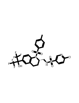 Cc1ccc(S(=O)(=O)N2c3ccc(C(O)(C(F)(F)F)C(F)(F)F)cc3CC[C@H]2CNS(=O)(=O)c2ccc(Cl)nc2)cc1